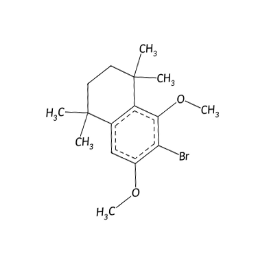 COc1cc2c(c(OC)c1Br)C(C)(C)CCC2(C)C